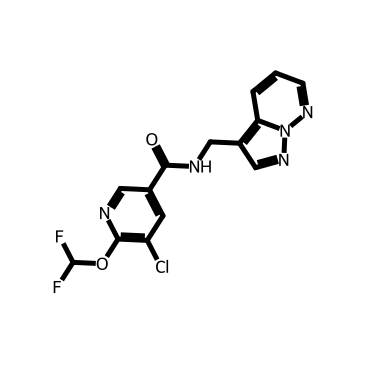 O=C(NCc1cnn2ncccc12)c1cnc(OC(F)F)c(Cl)c1